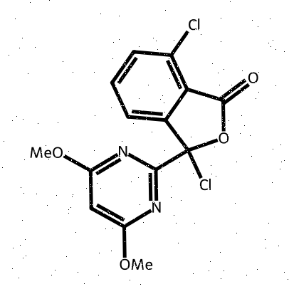 COc1cc(OC)nc(C2(Cl)OC(=O)c3c(Cl)cccc32)n1